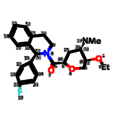 CCO[C@H]1CO[C@@H](C(=O)N2CCc3ccccc3[C@@H]2c2ccc(F)cc2)C[C@@H]1NC